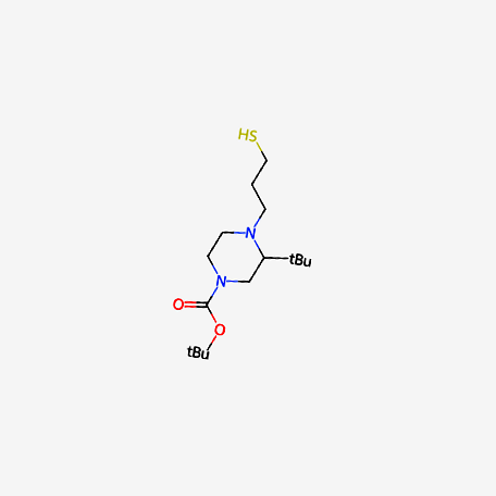 CC(C)(C)OC(=O)N1CCN(CCCS)C(C(C)(C)C)C1